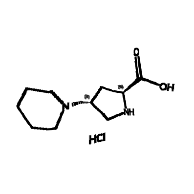 Cl.O=C(O)[C@@H]1C[C@@H](N2CCCCC2)CN1